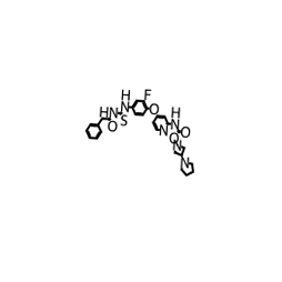 O=C(Cc1ccccc1)NC(=S)Nc1ccc(Oc2ccnc(NC(=O)ON3CC(N4CCCC4)C3)c2)c(F)c1